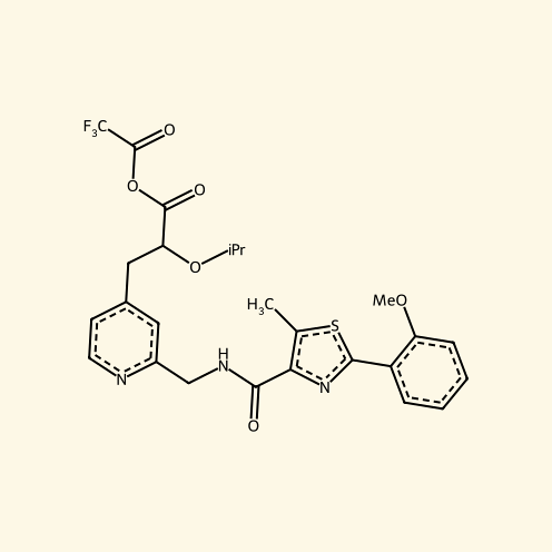 COc1ccccc1-c1nc(C(=O)NCc2cc(CC(OC(C)C)C(=O)OC(=O)C(F)(F)F)ccn2)c(C)s1